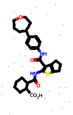 O=C(Nc1ccc(C2CCCOCC2)cc1)c1c(NC(=O)C2CCCCC2C(=O)O)sc2c1CCC2